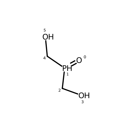 O=[PH](CO)CO